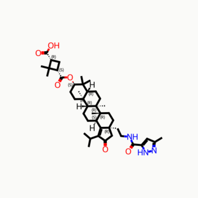 Cc1cc(C(=O)NCC[C@@]23CC[C@]4(C)[C@H](CC[C@@H]5[C@@]6(C)CC[C@H](OC(=O)[C@H]7C[C@@H](C(=O)O)C7(C)C)C(C)(C)[C@@H]6CC[C@]54C)C2=C(C(C)C)C(=O)C3)[nH]n1